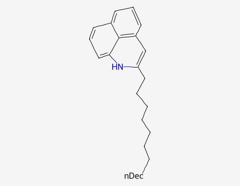 CCCCCCCCCCCCCCCCCC1=Cc2cccc3cccc(c23)N1